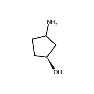 NC1CC[C@H](O)C1